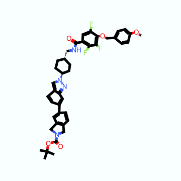 COc1ccc(COc2c(F)cc(C(=O)NC[C@H]3CC[C@H](n4cc5ccc(-c6ccc7c(c6)CN(C(=O)OC(C)(C)C)C7)cc5n4)CC3)c(F)c2F)cc1